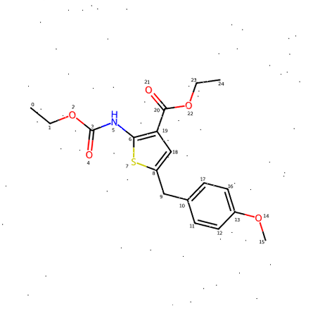 CCOC(=O)Nc1sc(Cc2ccc(OC)cc2)cc1C(=O)OCC